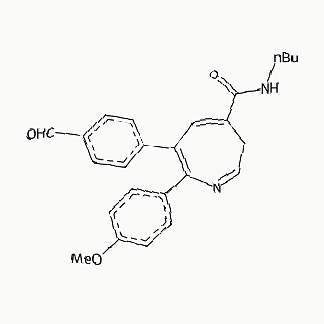 CCCCNC(=O)C1=CC(c2ccc(C=O)cc2)=C(c2ccc(OC)cc2)N=CC1